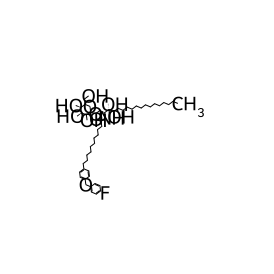 CCCCCCCCCCCCCC[C@@H](O)[C@@H](O)[C@H](CO[C@H]1OC(CO)[C@H](O)[C@H](O)C1O)NC(=O)CCCCCCCCCCc1ccc(Oc2ccc(F)cc2)cc1